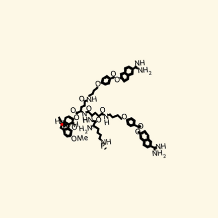 C=PNCCCC[C@H](N)C(=O)NC(CCC(=O)NCCCCOc1ccc(C(=O)Oc2ccc3cc(C(=N)N)ccc3c2)cc1)C(=O)NC(CCC(=O)NCCCCOc1ccc(C(=O)Oc2ccc3cc(C(=N)N)ccc3c2)cc1)C(=O)OC1=CC[C@H]2[C@H]3Cc4ccc(OC)c5c4[C@@]2(CCN3C)[C@H]1O5